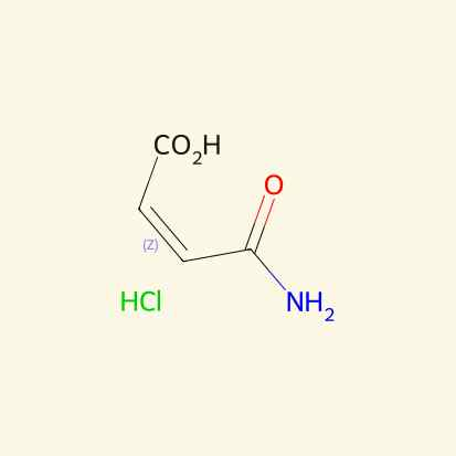 Cl.NC(=O)/C=C\C(=O)O